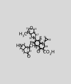 CN1CC(=O)CC2CNCC21.CN1COCC2CN(c3c(F)cc4c(=O)c(C(=O)O)cn(C5CC5)c4c3F)CC21